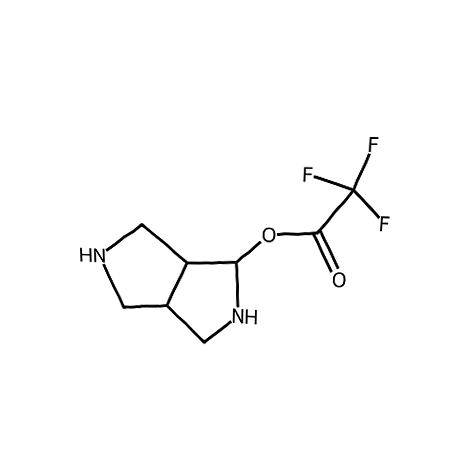 O=C(OC1NCC2CNCC21)C(F)(F)F